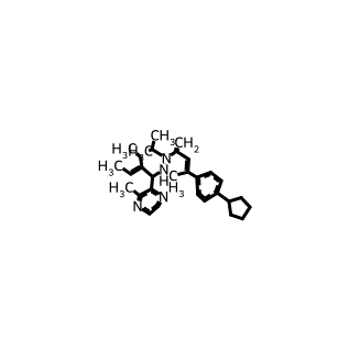 C=C(/C=C(\C)c1ccc(C2CCCC2)cc1)N(NC(/C(=C/C)CC)c1nccnc1C)C(C)C